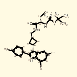 CC[C@H](NC(=O)OC(C)(C)C)C(=O)NC[C@H]1C[C@H](c2c(-c3ccc(F)cc3)[nH]c3c(F)cc(F)cc32)C1